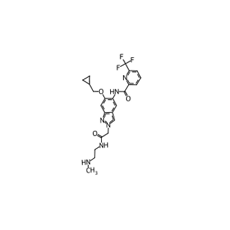 CNCCNC(=O)Cn1cc2cc(NC(=O)c3cccc(C(F)(F)F)n3)c(OCC3CC3)cc2n1